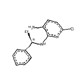 CC[C@@H](Nc1nc(Cl)ccc1N)c1ccccc1